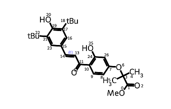 COC(=O)C(C)(C)Oc1ccc(C(=O)/C=C/c2cc(C(C)(C)C)c(O)c(C(C)(C)C)c2)c(O)c1